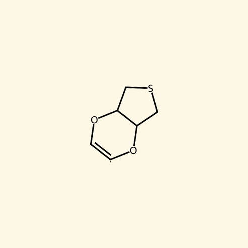 [C]1=COC2CSCC2O1